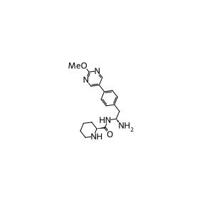 COc1ncc(-c2ccc(C[C@@H](N)NC(=O)[C@@H]3CCCCN3)cc2)cn1